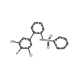 O=S(=O)(Nc1ccccc1-c1cc(Cl)c(F)c(Cl)c1)c1ccccc1